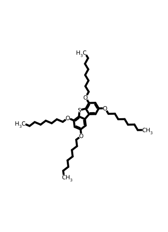 CCCCCCCCOc1cc(OCCCCCCCC)c2sc3c(OCCCCCCCC)cc(OCCCCCCCC)cc3c2c1